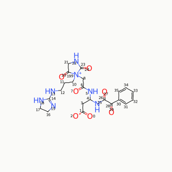 O=C([O-])CC(NC(=O)C[N+]1(CCCNC2=NCCN2)C(=O)CNC1=O)NC(=O)C(=O)c1ccccc1